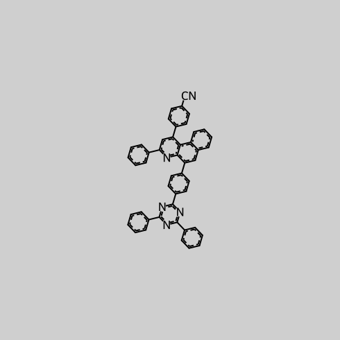 N#Cc1ccc(-c2cc(-c3ccccc3)nc3c(-c4ccc(-c5nc(-c6ccccc6)nc(-c6ccccc6)n5)cc4)cc4ccccc4c23)cc1